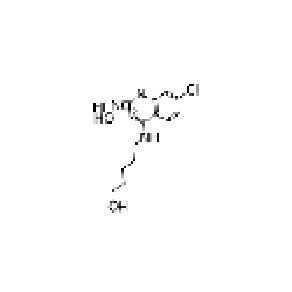 CN1CC=C(NCCCCCO)c2ccc(Cl)cc21.I.O=[N+]([O-])O